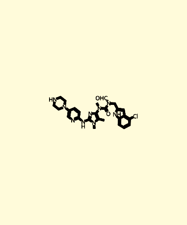 Cc1c(N(C)C(=O)N(C=O)Cc2cc3c(Cl)cccc3[nH]2)nc(Nc2ccc(N3CCNCC3)cn2)n1C